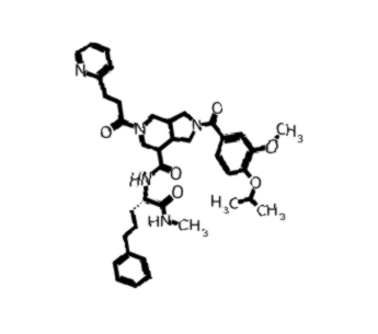 CNC(=O)[C@H](CCCc1ccccc1)NC(=O)C1CN(C(=O)CCc2ccccn2)CC2CN(C(=O)c3ccc(OC(C)C)c(OC)c3)CC21